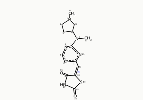 CN1CCC(N(C)c2nccc(/C=C3/SC(=O)NC3=O)n2)C1